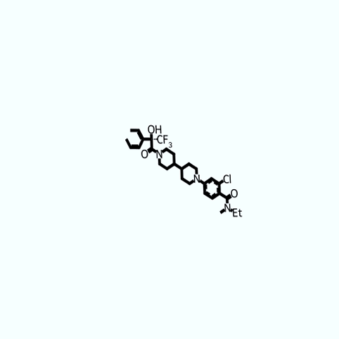 C/C=C\C(=C/C)[C@@](O)(C(=O)N1CCC(C2CCN(c3ccc(C(=O)N(C)CC)c(Cl)c3)CC2)CC1)C(F)(F)F